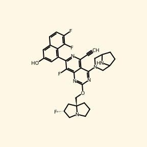 C#Cc1nc(-c2cc(O)cc3ccc(F)c(F)c23)c(F)c2nc(OC[C@@]34CCCN3C[C@H](F)C4)nc(N3CC4CCC(C3)N4)c12